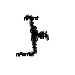 CCCCC/C=C\C/C=C\CCCCCCCC(=O)OCCN(CCOC(=O)CCCCCCC/C=C\C/C=C\CCCCC)C(=O)CCCN(C)C